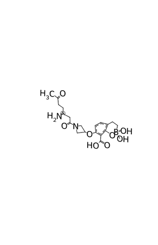 CC(=O)CC[C@H](N)CC(=O)N1CC(Oc2ccc3c(c2C(=O)O)O[B-](O)(O)CC3)C1